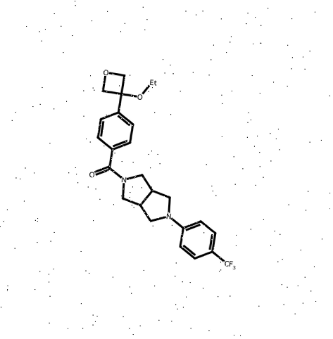 CCOC1(c2ccc(C(=O)N3CC4CN(c5ccc(C(F)(F)F)cc5)CC4C3)cc2)COC1